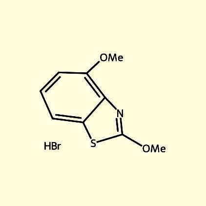 Br.COc1nc2c(OC)cccc2s1